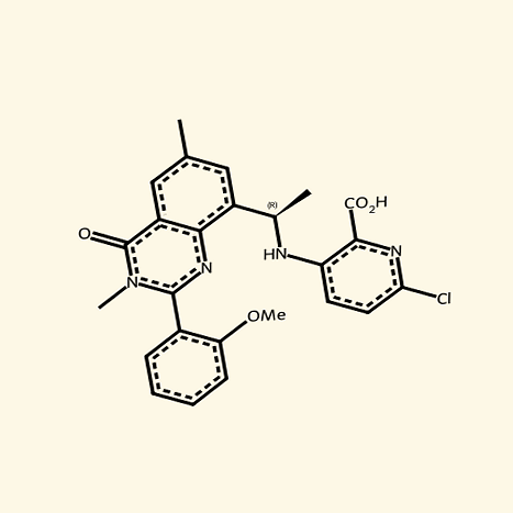 COc1ccccc1-c1nc2c([C@@H](C)Nc3ccc(Cl)nc3C(=O)O)cc(C)cc2c(=O)n1C